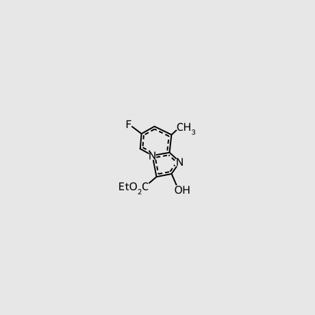 CCOC(=O)c1c(O)nc2c(C)cc(F)cn12